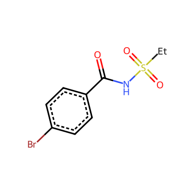 CCS(=O)(=O)NC(=O)c1ccc(Br)cc1